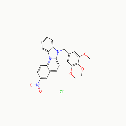 COc1cc(Cn2c3ccccc3[n+]3c4ccc([N+](=O)[O-])cc4ccc23)cc(OC)c1OC.[Cl-]